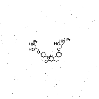 CC(C)NCC(O)COc1ccc(-n2nc3c(cc2=O)CCc2ccc(OCC(O)CNC(C)C)cc2-3)cc1